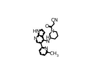 Cc1cccc(-c2cnc3[nH]ccc3c2N[C@@H]2CCCN(C(=O)CC#N)C2)n1